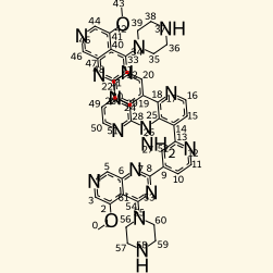 COc1cncc2nc(-c3ccnc(-c4ccnc(-c5cccnc5)c4N(N)c4cc(-c5nc(N6CCNCC6)c6c(OC)cncc6n5)ccn4)c3)nc(N3CCNCC3)c12